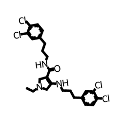 CCN1CC(NCCCc2ccc(Cl)c(Cl)c2)=C(C(=O)NCCCc2ccc(Cl)c(Cl)c2)C1